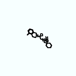 Cc1cccc2c1CCN(C(=O)CNCC1(O)CCCCC1)C2